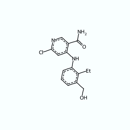 CCc1c(CO)cccc1Nc1cc(Cl)ncc1C(N)=O